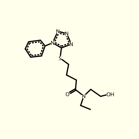 CCN(CCO)C(=O)CCCSc1nnnn1-c1ccccc1